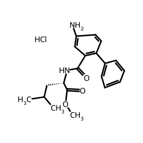 COC(=O)[C@H](CC(C)C)NC(=O)c1cc(N)ccc1-c1ccccc1.Cl